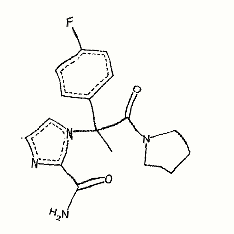 CC(C(=O)N1CCCC1)(c1ccc(F)cc1)n1c[c]nc1C(N)=O